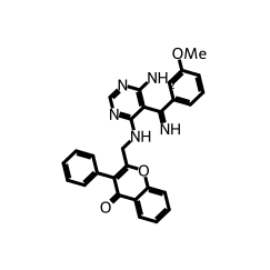 COc1cccc(C(=N)c2c(N)ncnc2NCc2oc3ccccc3c(=O)c2-c2ccccc2)c1